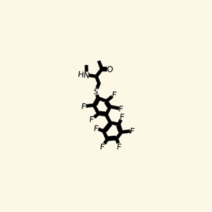 CNC(CSc1c(F)c(F)c(-c2c(F)c(F)c(F)c(F)c2F)c(F)c1F)C(C)=O